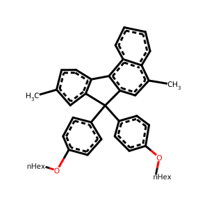 CCCCCCOc1ccc(C2(c3ccc(OCCCCCC)cc3)c3cc(C)ccc3-c3c2cc(C)c2ccccc32)cc1